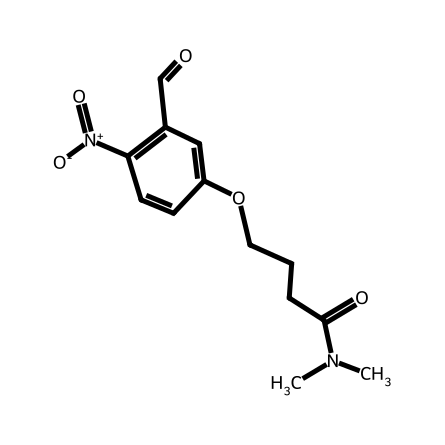 CN(C)C(=O)CCCOc1ccc([N+](=O)[O-])c(C=O)c1